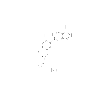 CCCCOC(=O)N1CCc2cc(F)c(-c3ncc4[nH]ncc4n3)c(F)c2C1